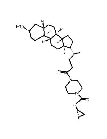 CC(CCC(=O)N1CCN(C(=O)OC2CC2)CC1)[C@H]1CC[C@H]2[C@@H]3CC[C@H]4C[C@@H](O)CC[C@]4(C)[C@H]3CC[C@]12C